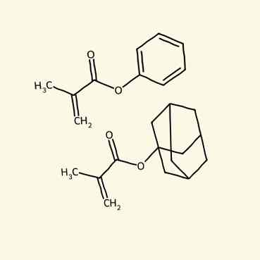 C=C(C)C(=O)OC12CC3CC(CC(C3)C1)C2.C=C(C)C(=O)Oc1ccccc1